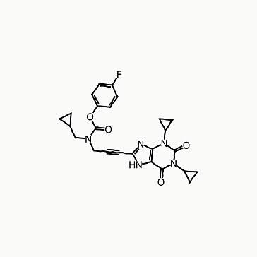 O=C(Oc1ccc(F)cc1)N(CC#Cc1nc2c([nH]1)c(=O)n(C1CC1)c(=O)n2C1CC1)CC1CC1